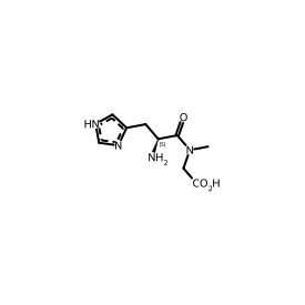 CN(CC(=O)O)C(=O)[C@@H](N)Cc1c[nH]cn1